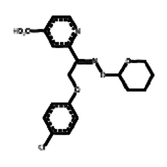 O=C(O)c1ccnc(/C(COc2ccc(Cl)cc2)=N/OC2CCCCO2)c1